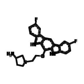 NC1CCN(CCOc2c3[nH]c4ccc(F)cc4c3cc3c2[nH]c2ccc(F)cc23)C1